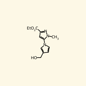 CCOC(=O)c1cc(-n2ccc(CO)c2)n(C)n1